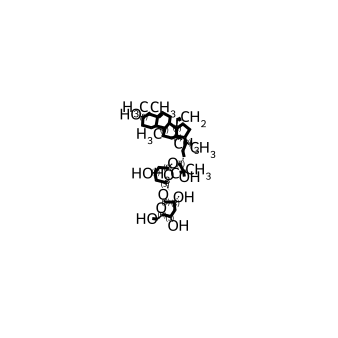 C=C[C@@]12CCC([C@H](C)CC[C@@H](O[C@H]3C[C@@H](O)C[C@@H](CO[C@H]4O[C@H](CO)[C@@H](O)C[C@H]4O)O3)C(C)(C)O)[C@@]1(C)CC[C@@]1(C)C3CC[C@H](O)C(C)(C)C3=CCC12